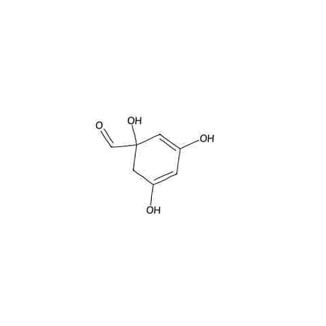 O=CC1(O)C=C(O)C=C(O)C1